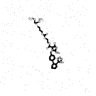 CCCCc1nc(Cl)c(C(=O)OCCOC(=O)OCCCC[C@H](CO[N+](=O)[O-])O[N+](=O)[O-])n1Cc1ccc(-c2ccccc2-c2nnn[nH]2)cc1